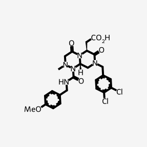 COc1ccc(CNC(=O)N2[C@H]3CN(Cc4ccc(Cl)c(Cl)c4)C(=O)[C@H](CC(=O)O)N3C(=O)CN2C)cc1